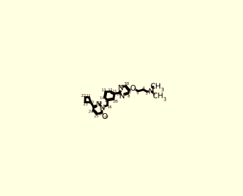 CN(C)CCCOc1cnc(-c2cccc(Cn3nc(C4CCC4)ccc3=O)c2)nc1